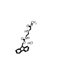 COC(=O)CNCCNC(=O)OCC1c2ccccc2-c2ccccc21.Cl